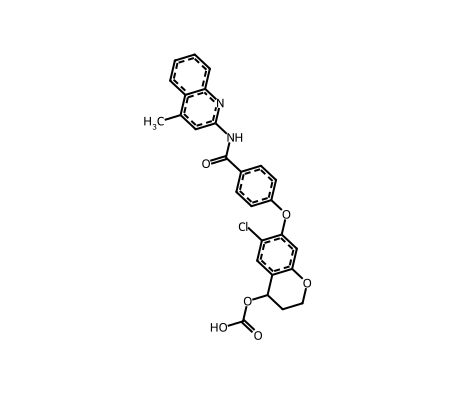 Cc1cc(NC(=O)c2ccc(Oc3cc4c(cc3Cl)C(OC(=O)O)CCO4)cc2)nc2ccccc12